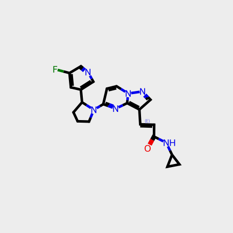 O=C(/C=C/c1cnn2ccc(N3CCCC3c3cncc(F)c3)nc12)NC1CC1